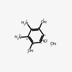 Cl.Cl.Nc1c(O)ccc(O)c1N